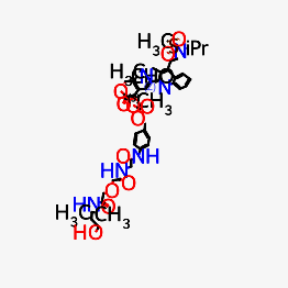 CC(C)N(CCc1c2c(nc3ccccc13)/C(=C/C1=C(C=O)COC(=O)[C@@]1(C)OC(=O)OCc1ccc(NC(=O)CNC(=O)COCC(=O)NC(C)(C)CCO)cc1)N(C)C2)S(C)(=O)=O